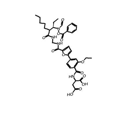 CCCCCC(C(=O)NCNC(=O)c1ccc(-c2ccc(C(=O)NC(CC(=O)O)C(=O)O)c(OCC)c2)o1)[C@@H](CC)N(C=O)OC(=O)c1ccccc1